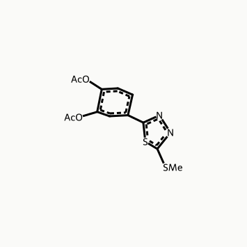 CSc1nnc(-c2ccc(OC(C)=O)c(OC(C)=O)c2)s1